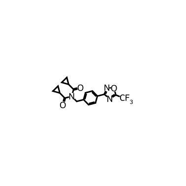 O=C(C1CC1)N(Cc1ccc(-c2noc(C(F)(F)F)n2)cc1)C(=O)C1CC1